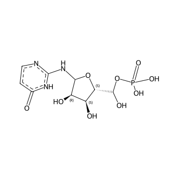 O=c1ccnc(NC2O[C@H](C(O)OP(=O)(O)O)[C@@H](O)[C@H]2O)[nH]1